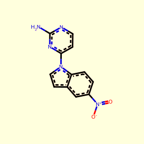 Nc1nccc(-n2ccc3cc([N+](=O)[O-])ccc32)n1